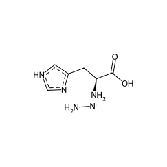 N[C@@H](Cc1c[nH]cn1)C(=O)O.[N]N